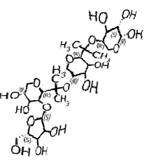 CC(C)(O[C@@H]1CO[C@@H](O)[C@@H](O)C1O)[C@@H]1OC[C@@H](OC(C)(C)[C@@H]2OC[C@@H](O)C(O)C2O[C@@H]2O[C@@H](CO)C(O)C2O)C(O)C1O